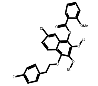 CCOc1c(OCC)c(OC(=O)c2ccccc2OC)c2cc(Cl)ccc2c1OCCc1ccc(Cl)cc1